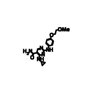 COCCOc1ccc(Nc2ncc(C(N)=O)c(NC3CC3)n2)cc1